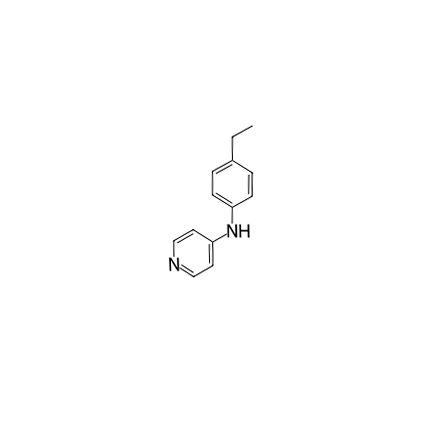 CCc1ccc(Nc2ccncc2)cc1